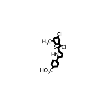 Cc1cc(Cl)cc2c(Cl)c(-c3ccc(-c4ccc(C(=O)O)cc4)[nH]3)sc12